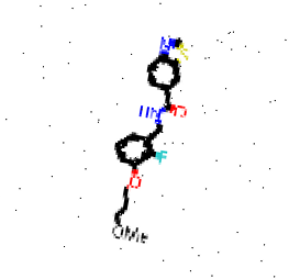 COCCCOc1cccc(CNC(=O)c2ccc3ncsc3c2)c1F